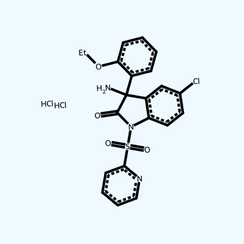 CCOc1ccccc1C1(N)C(=O)N(S(=O)(=O)c2ccccn2)c2ccc(Cl)cc21.Cl.Cl